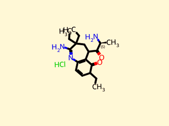 CCC1C=CC2=C(C1=O)C(C(=O)[C@H](C)N)CC(CC)(CC)C(N)=N2.Cl